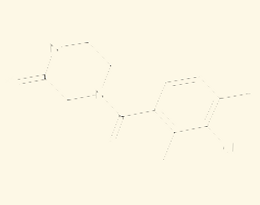 Cc1c(C(=O)N2CCNC(=O)C2)ccc(F)c1Cl